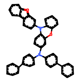 c1ccc(-c2ccc(N(c3ccc(-c4ccccc4)cc3)c3ccc4c(c3)Oc3ccccc3N4c3ccc4c(c3)oc3ccccc34)cc2)cc1